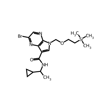 CC(NC(=O)c1cn(COCC[Si](C)(C)C)c2ncc(Br)nc12)C1CC1